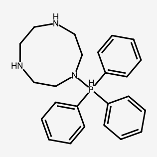 c1ccc([PH](c2ccccc2)(c2ccccc2)N2CCNCCNCC2)cc1